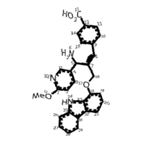 COc1ccc(C(N)/C(=C\c2ccc(C(=O)O)cc2)COc2cccc3c2[nH]c2ccccc23)cn1